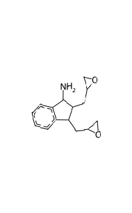 NC1c2ccccc2C(CC2CO2)C1CC1CO1